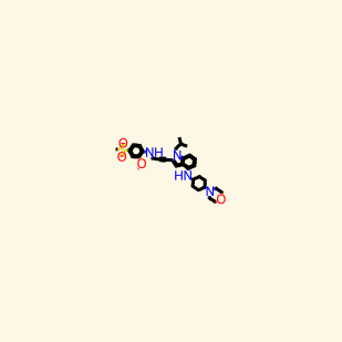 COc1cc(S(C)(=O)=O)ccc1NCC#Cc1cc2c(N[C@H]3CC[C@H](N4CCOCC4)CC3)cccc2n1CC(C)C